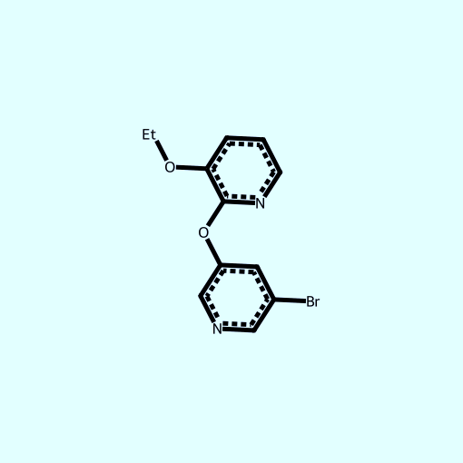 CCOc1cccnc1Oc1cncc(Br)c1